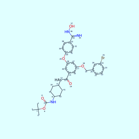 CC(C)(C)OC(=O)NC1CCC([AsH]C(=O)c2cc(OCc3cccc(Br)c3)cc(Oc3ccc(C(=N)NO)cc3)c2)CC1